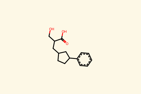 O=C(O)C(CO)CC1CCC(c2ccccc2)C1